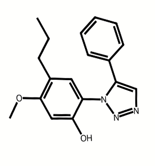 CCCc1cc(-n2nncc2-c2ccccc2)c(O)cc1OC